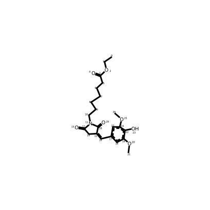 CCOC(=O)CCCCCCN1C(=O)CC(=Cc2cc(OC)c(O)c(OC)c2)C1=O